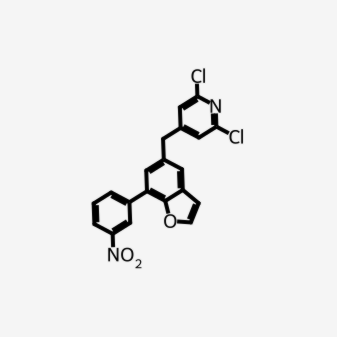 O=[N+]([O-])c1cccc(-c2cc(Cc3cc(Cl)nc(Cl)c3)cc3ccoc23)c1